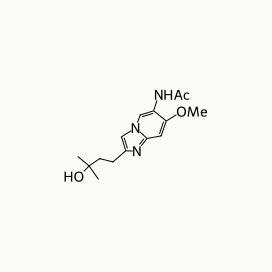 COc1cc2nc(CCC(C)(C)O)cn2cc1NC(C)=O